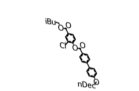 CCCCCCCCCCOc1ccc(-c2ccc(C(=O)Oc3ccc(C(=O)OCC(C)CC)cc3Cl)cc2)cc1